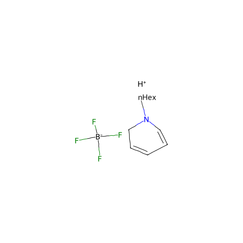 CCCCCCN1C=CC=CC1.F[B-](F)(F)F.[H+]